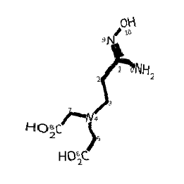 N/C(CCN(CC(=O)O)CC(=O)O)=N\O